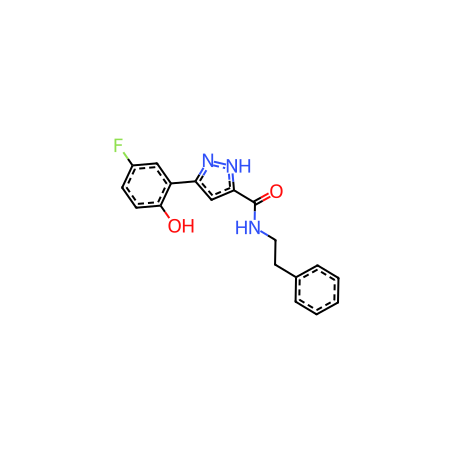 O=C(NCCc1ccccc1)c1cc(-c2cc(F)ccc2O)n[nH]1